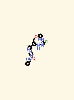 O=C(NCc1ccccc1)N1CCN(c2cc(-c3cc4cc(c3)Nc3ncc(Cl)c(n3)Nc3cccc(c3)OCC4)ccn2)CC1